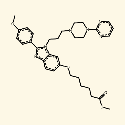 COC(=O)CCCCCOc1ccc2nc(-c3ccc(OC)cc3)n(CCCN3CCN(c4ncccn4)CC3)c2c1